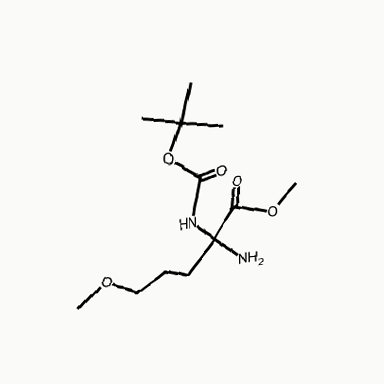 COCCCC(N)(NC(=O)OC(C)(C)C)C(=O)OC